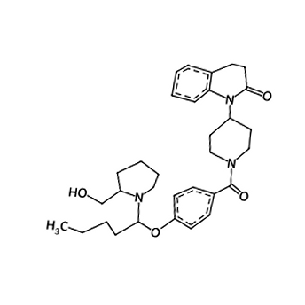 CCCCC(Oc1ccc(C(=O)N2CCC(N3C(=O)CCc4ccccc43)CC2)cc1)N1CCCCC1CO